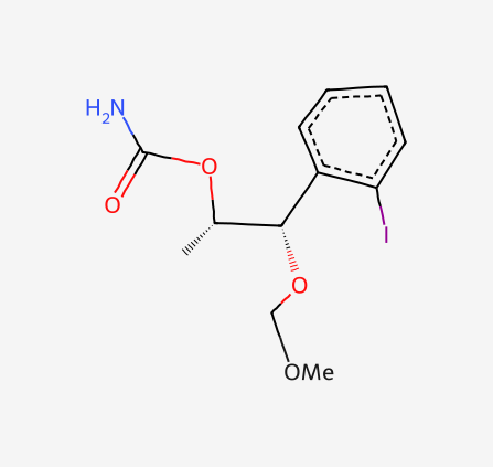 COCO[C@@H](c1ccccc1I)[C@H](C)OC(N)=O